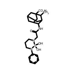 CC1C2CC3CC(CC1(C(=O)O)C3)C2NC(=O)CN1CCCN(c2ccccc2)S1(O)O